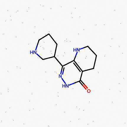 O=c1[nH]nc(C2CCCNC2)c2c1CCCN2